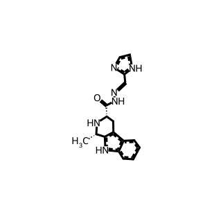 C[C@@H]1N[C@H](C(=O)N/N=C/c2ncc[nH]2)Cc2c1[nH]c1ccccc21